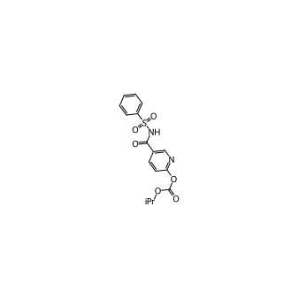 CC(C)OC(=O)Oc1ccc(C(=O)NS(=O)(=O)c2ccccc2)cn1